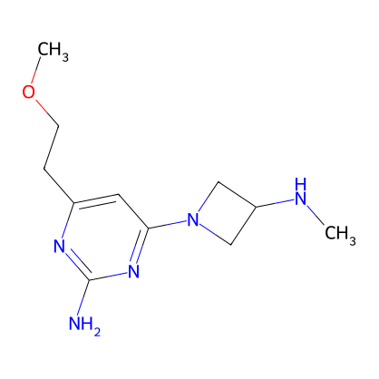 CNC1CN(c2cc(CCOC)nc(N)n2)C1